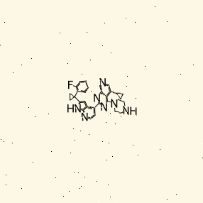 Fc1ccccc1C1(c2cc3c(-c4nc(N5CCNCC5)c5c(C6CC6)cncc5n4)ccnc3[nH]2)CC1